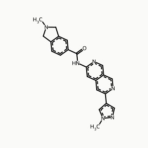 CN1Cc2ccc(C(=O)Nc3cc4cc(-c5cnn(C)c5)ncc4cn3)cc2C1